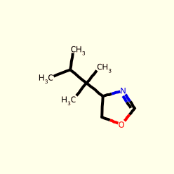 CC(C)C(C)(C)C1COC=N1